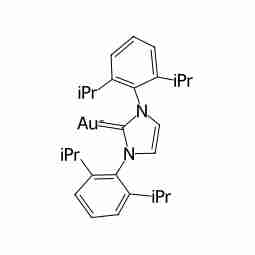 CC(C)c1cccc(C(C)C)c1-n1ccn(-c2c(C(C)C)cccc2C(C)C)[c]1=[Au-]